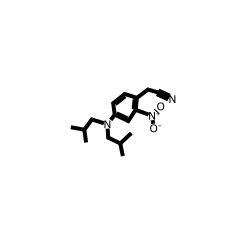 CC(C)CN(CC(C)C)c1ccc(CC#N)c([N+](=O)[O-])c1